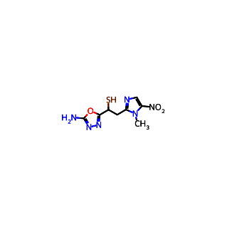 Cn1c([N+](=O)[O-])cnc1CC(S)c1nnc(N)o1